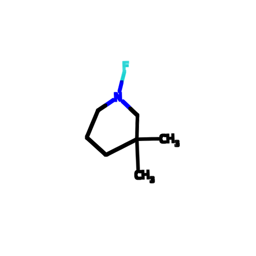 CC1(C)CCCN(F)C1